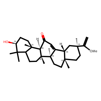 C=C(OC)[C@@]1(C)CC[C@]2(C)CC[C@]3(C)C(=CC(=O)[C@@H]4[C@@]5(C)CC[C@H](O)C(C)(C)C5CC[C@]43C)[C@@H]2C1